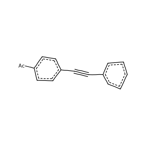 CC(=O)c1ccc(C#Cc2ccccc2)cc1